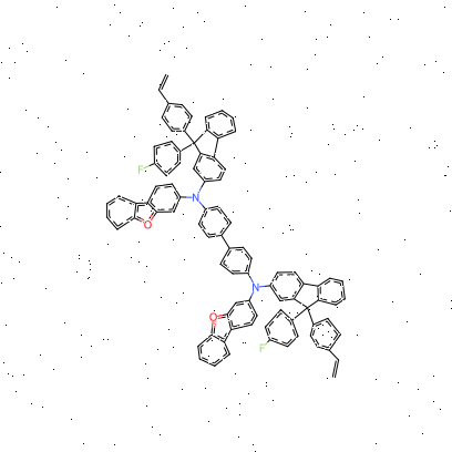 C=Cc1ccc(C2(c3ccc(F)cc3)c3ccccc3-c3ccc(N(c4ccc(-c5ccc(N(c6ccc7c(c6)C(c6ccc(F)cc6)(c6ccc(C=C)cc6)c6ccccc6-7)c6ccc7c(c6)oc6ccccc67)cc5)cc4)c4ccc5c(c4)oc4ccccc45)cc32)cc1